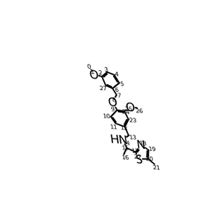 COc1cccc(COc2ccc(CNC(C)c3ncc(C)s3)cc2OC)c1